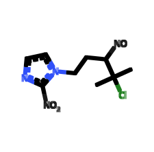 CC(C)(Cl)C(CCn1ccnc1[N+](=O)[O-])N=O